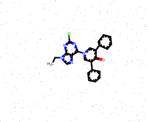 CCn1cnc2c(-n3cc(-c4ccccc4)c(=O)c(-c4ccccc4)c3)nc(Cl)nc21